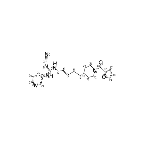 N#C/N=C(\NC/C=C/CCC1CCN(C(=O)c2ccco2)CC1)Nc1cccnc1